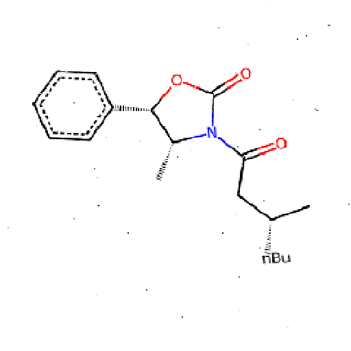 CCCC[C@@H](C)CC(=O)N1C(=O)O[C@@H](c2ccccc2)[C@H]1C